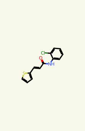 O=C(C=Cc1cccs1)Nc1ccccc1Cl